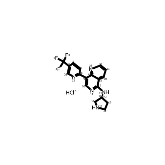 Cl.FC(F)(F)c1ccc(-c2cnc(N[C@H]3CCNC3)c3cccnc23)nc1